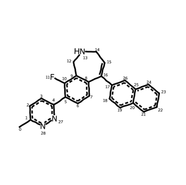 Cc1ccc(-c2ccc3c(c2F)CNCC=C3c2ccc3ccccc3c2)nn1